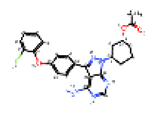 CC(=O)O[C@@H]1CCC[C@@H](n2nc(-c3ccc(Oc4ccccc4F)cc3)c3c(N)ncnc32)C1